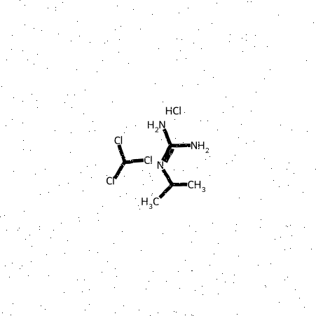 CC(C)N=C(N)N.Cl.ClC(Cl)Cl